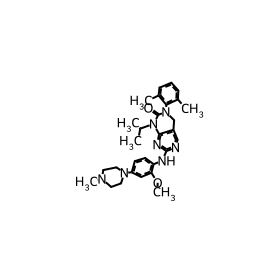 COc1cc(N2CCN(C)CC2)ccc1Nc1ncc2c(n1)N(C(C)C)C(=O)N(c1c(C)cccc1C)C2